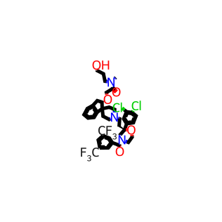 CN(CCCO)C(=O)CO[C@H]1Cc2ccccc2C12CCN(CC[C@]1(c3ccc(Cl)c(Cl)c3)CN(C(=O)c3cc(C(F)(F)F)cc(C(F)(F)F)c3)CCO1)CC2